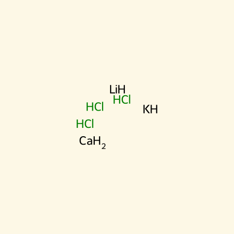 Cl.Cl.Cl.[CaH2].[KH].[LiH]